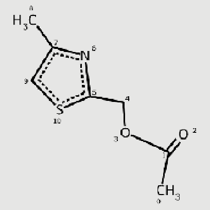 CC(=O)OCc1nc(C)cs1